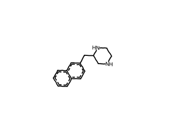 c1ccc2cc(CC3CNCCN3)ccc2c1